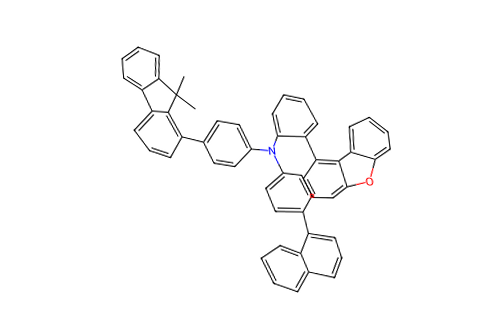 CC1(C)c2ccccc2-c2cccc(-c3ccc(N(c4ccc(-c5cccc6ccccc56)cc4)c4ccccc4-c4cccc5oc6ccccc6c45)cc3)c21